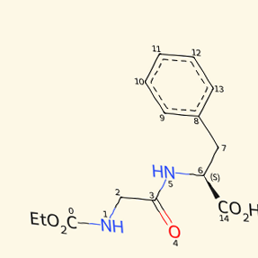 CCOC(=O)NCC(=O)N[C@@H](Cc1ccccc1)C(=O)O